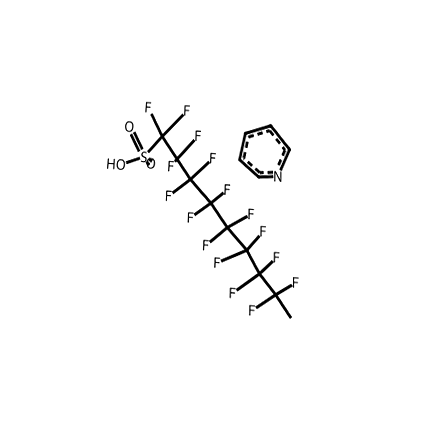 CC(F)(F)C(F)(F)C(F)(F)C(F)(F)C(F)(F)C(F)(F)C(F)(F)C(F)(F)S(=O)(=O)O.c1ccncc1